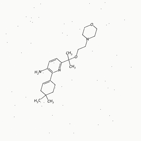 CC1(C)CC=C(c2nc(C(C)(C)OCCN3CCOCC3)ccc2N)CC1